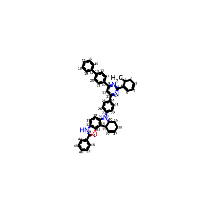 CC1CC=CC=C1c1nc(-c2ccc(-c3ccccc3)cc2)cc(-c2ccc(N3c4ccc5c(c4C4C=CCCC43)OC(c3ccccc3)N5)cc2)n1